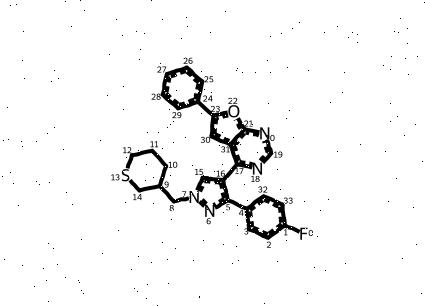 Fc1ccc(-c2nn(CC3CCCSC3)cc2-c2ncnc3oc(-c4ccccc4)cc23)cc1